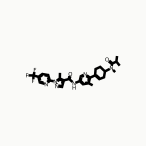 Cc1cc(NC(=O)c2cnn(-c3ccc(C(F)(F)F)cn3)c2C)cnc1C1=CCC(N(C)C(=O)C(C)C)CC1